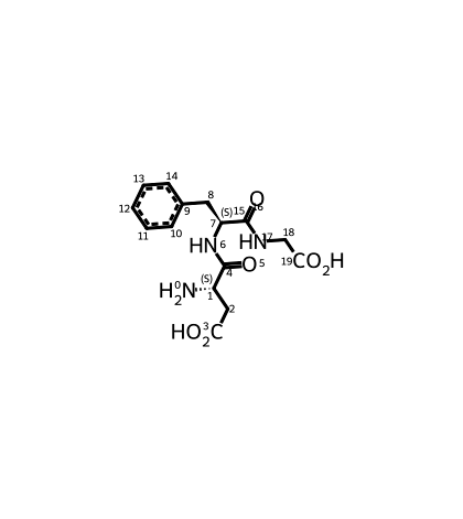 N[C@@H](CC(=O)O)C(=O)N[C@@H](Cc1ccccc1)C(=O)NCC(=O)O